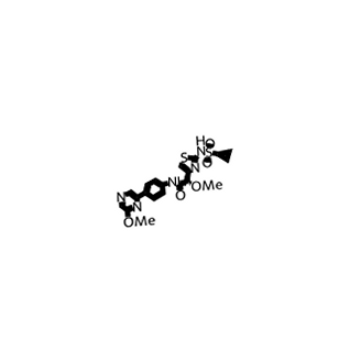 COc1cncc(-c2ccc(NC(=O)[C@H](OC)c3csc(NS(=O)(=O)C4CC4)n3)cc2)n1